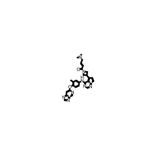 Cc1cc(Nc2ncnn3ccc(C4CN(C(=O)/C=C/CN(C)C)C4)c23)ccc1Oc1cc2ncnn2cn1